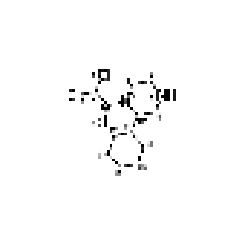 O=C(C(Cl)Cl)N1CCNCC1C1CCCCC1